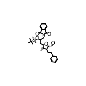 C[C@H]1C(CC(CN2C(=O)c3ccccc3C2=O)O[Si](C)(C)C(C)(C)C)O[C@@H](C=O)C1CCc1ccccc1